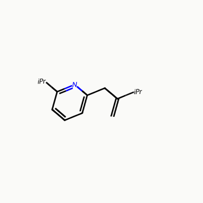 C=C(Cc1cccc(C(C)C)n1)C(C)C